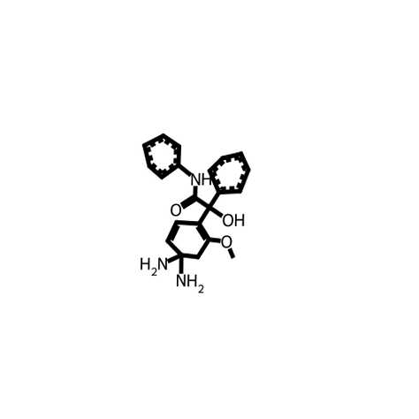 COC1=C(C(O)(C(=O)Nc2ccccc2)c2ccccc2)C=CC(N)(N)C1